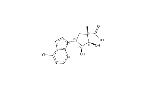 C[C@]1(C(=O)O)C[C@@H](n2ccc3c(Cl)ncnc32)[C@H](O)[C@@H]1O